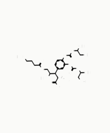 CCCCC(=O)OCC(C)C(c1ccc(OC(=O)OC(C)CC)c(OC(=O)OC(C)CC)c1)[C@H](N)C(=O)O